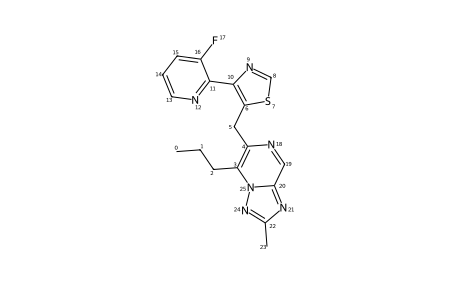 CCCc1c(Cc2scnc2-c2ncccc2F)ncc2nc(C)nn12